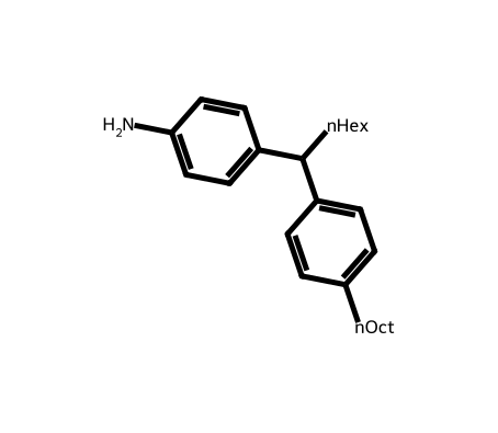 CCCCCCCCc1ccc(C(CCCCCC)c2ccc(N)cc2)cc1